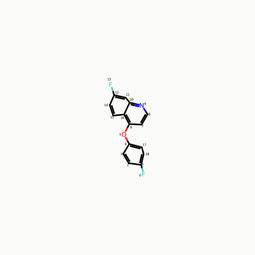 Fc1ccc(Oc2ccnc3cc(F)ccc23)cc1